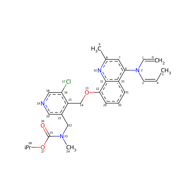 C=CN(/C=C\C)c1cc(C)nc2c(OCc3c(Cl)cncc3CN(C)C(=O)OC(C)C)cccc12